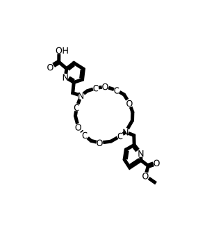 COC(=O)c1cccc(CN2CCOCCOCCN(Cc3cccc(C(=O)O)n3)CCOCCOCC2)n1